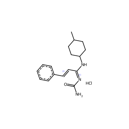 CC1CCC(NC(/C=C/c2ccccc2)=N/C(N)=O)CC1.Cl